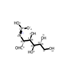 O=C[C@H](/N=[P+](\[O-])O)[C@@H](O)[C@H](O)[C@H](O)CO